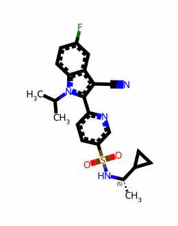 CC(C)n1c(-c2ccc(S(=O)(=O)N[C@@H](C)C3CC3)cn2)c(C#N)c2cc(F)ccc21